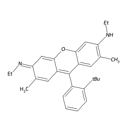 CC/N=c1/cc2oc3cc(NCC)c(C)cc3c(-c3ccccc3C(C)(C)C)c-2cc1C